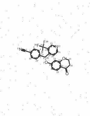 N#Cc1ccc([C@@H](Oc2ccc3c(c2)OCCC3=O)c2ccncc2C(F)(F)F)cc1